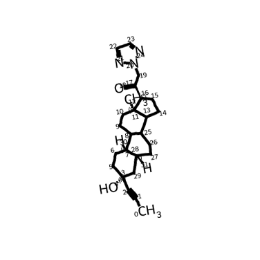 CC#C[C@@]1(O)CC[C@@H]2C3CC[C@@]4(C)C(CC[C@@H]4C(=O)Cn4nccn4)C3CC[C@@H]2C1